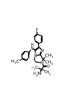 Cc1ccc(Nc2c(-c3ccc(F)cc3)nc3n2CCN(C(=O)C(C)(C)N)C3(C)C)cc1